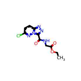 CCOC(=O)CNC(=O)c1nnc2ccc(Cl)nn12